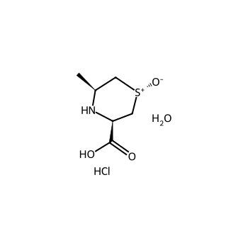 C[C@H]1C[S@+]([O-])C[C@@H](C(=O)O)N1.Cl.O